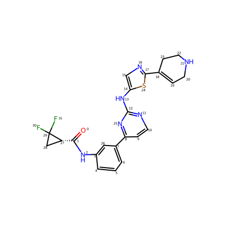 O=C(Nc1cccc(-c2ccnc(Nc3cnc(C4=CCNCC4)s3)n2)c1)[C@@H]1CC1(F)F